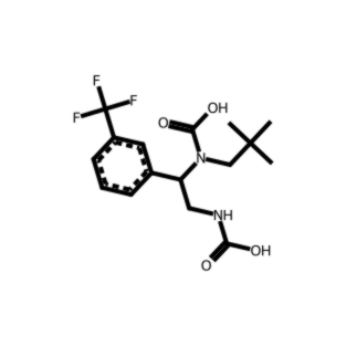 CC(C)(C)CN(C(=O)O)C(CNC(=O)O)c1cccc(C(F)(F)F)c1